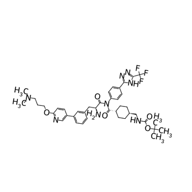 CN(C)CCCOc1ccc(-c2cccc(C[C@H](N)C(=O)N(c3ccc(-c4nnc(C(F)(F)F)[nH]4)cc3)C(=O)[C@H]3CC[C@H](CNC(=O)OC(C)(C)C)CC3)c2)cn1